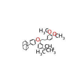 COc1ccc(CCC(Oc2ccc(C34CC5CC(CC(C5)C3)C4)cc2)c2cccc(C(C)(C)C)c2)cc1OC